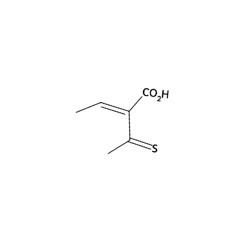 CC=C(C(=O)O)C(C)=S